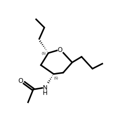 CCCC1C[C@H](NC(C)=O)C[C@H](CCC)O1